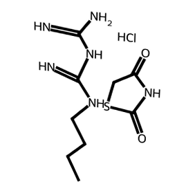 CCCCNC(=N)NC(=N)N.Cl.O=C1CSC(=O)N1